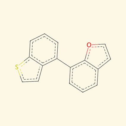 c1cc(-c2cccc3sccc23)c2occc2c1